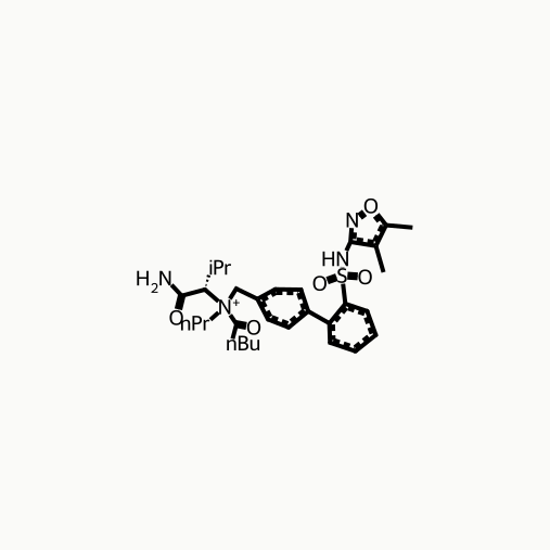 CCCCC(=O)[N+](CCC)(Cc1ccc(-c2ccccc2S(=O)(=O)Nc2noc(C)c2C)cc1)[C@H](C(N)=O)C(C)C